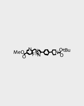 COC(=O)c1cnc(Cn2cc(-c3ccc(C4CCN(C(=O)OC(C)(C)C)CC4)cc3)nn2)c(F)c1